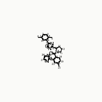 Cc1ccc(C)c(-c2nc(C3CCCN3C(=O)c3ccc(C)cc3-n3nccn3)no2)c1